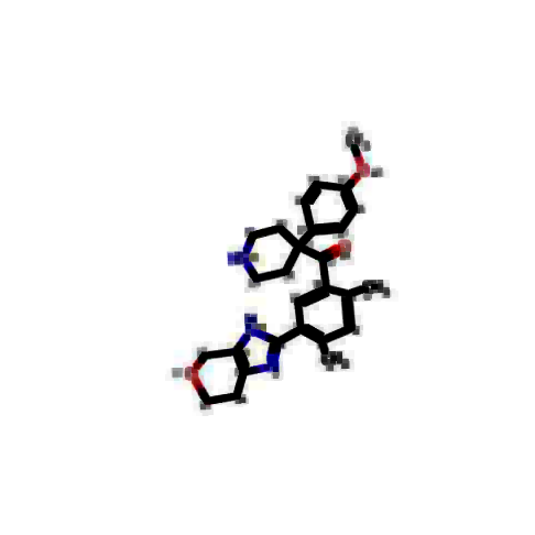 Cc1cc(C)c(-c2nc3c([nH]2)COCC3)cc1C(=O)C1(c2ccc(OC(F)(F)F)cc2)CCNCC1